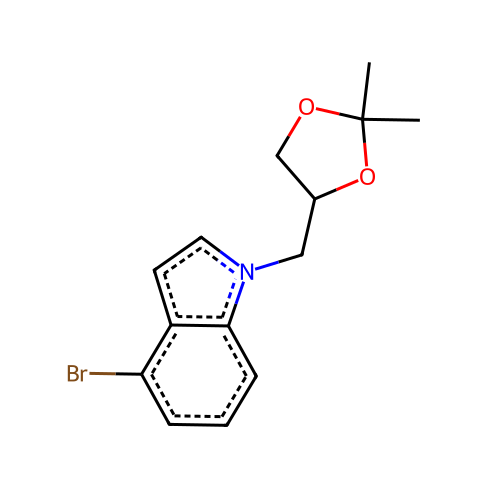 CC1(C)OCC(Cn2ccc3c(Br)cccc32)O1